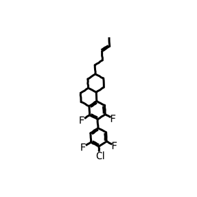 C/C=C/CCC1CCC2c3cc(F)c(-c4cc(F)c(Cl)c(F)c4)c(F)c3CCC2C1